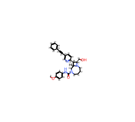 COc1ccc(NC(=O)N2CCCCN3[C@H](CO)[C@H](c4ccc(C#Cc5ccccc5)cn4)[C@@H]3C2)cc1